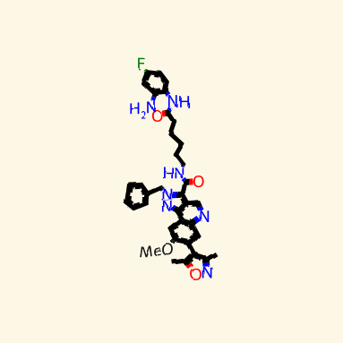 COc1cc2c(cc1-c1c(C)noc1C)ncc1c(C(=O)NCCCCCC(=O)Nc3ccc(F)cc3N)n(Cc3ccccc3)nc12